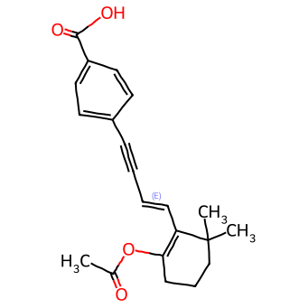 CC(=O)OC1=C(/C=C/C#Cc2ccc(C(=O)O)cc2)C(C)(C)CCC1